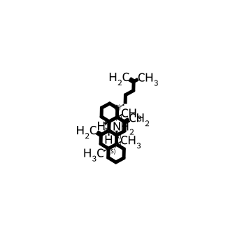 C=C(C)CCC[C@H]1CCC[C@H]2[C@@H]3C(=C)C[C@]4(C)CCCC[C@]4(C)[C@@]3(N)CC(=C)[C@]12C